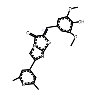 COc1cc(/C=c2\sc3nc(-c4cc(C)nc(C)c4)cn3c2=O)cc(OC)c1O